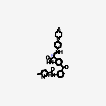 Cc1ccc(C(=O)Nc2cccc(C(=O)c3ccc4c(c3)NC(=O)/C4=C/Nc3ccc(N4CCN(C)CC4)cc3)c2)cn1